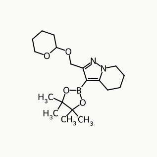 CC1(C)OB(c2c(COC3CCCCO3)nn3c2CCCC3)OC1(C)C